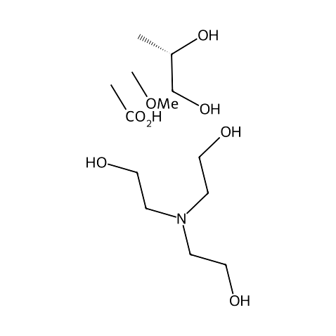 CC(=O)O.COC.C[C@H](O)CO.OCCN(CCO)CCO